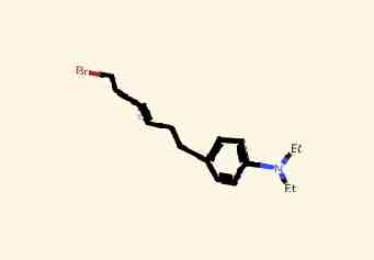 CCN(CC)c1ccc(CC/C=C/CCBr)cc1